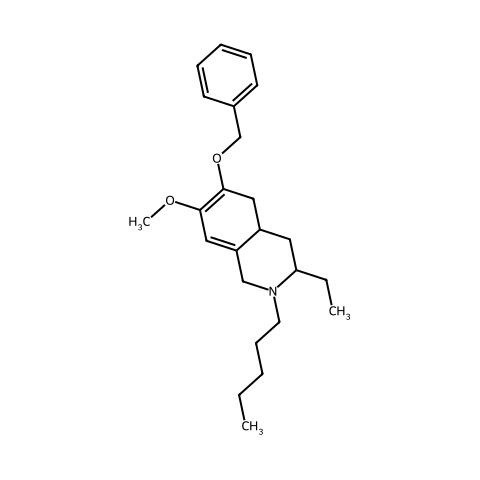 CCCCCN1CC2=CC(OC)=C(OCc3ccccc3)CC2CC1CC